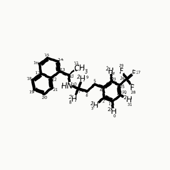 [2H]c1c([2H])c(CCC([2H])([2H])N[C@H](C)c2cccc3ccccc23)c([2H])c(C(F)(F)F)c1[2H]